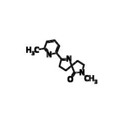 Cc1cccc(C2=NC3(CC2)CCN(C)C3=O)n1